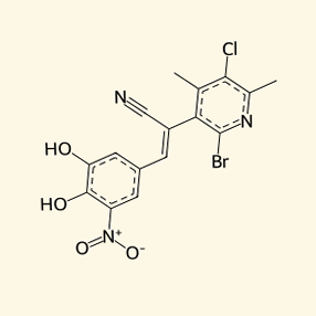 Cc1nc(Br)c(C(C#N)=Cc2cc(O)c(O)c([N+](=O)[O-])c2)c(C)c1Cl